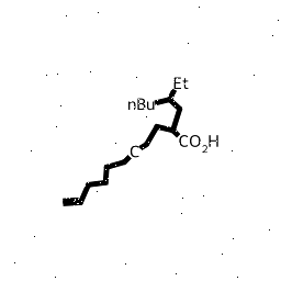 C=CCCCCCCCC(CC(CC)CCCC)C(=O)O